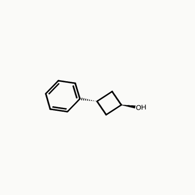 O[C@H]1C[C@H](c2ccccc2)C1